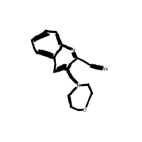 N#Cc1nc2ccccc2cc1N1CCOCC1